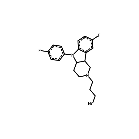 N#CCCCN1CCC2C(C1)c1cc(F)ccc1N2c1ccc(F)cc1